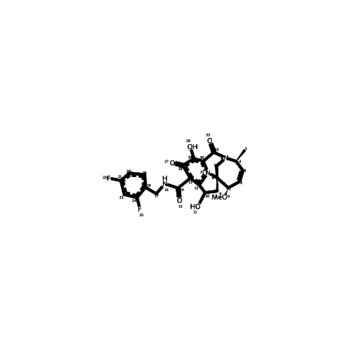 CO[C@H]1C=C[C@H](C)N2C[C@]13CC(O)c1c(C(=O)NCc4ccc(F)cc4F)c(=O)c(O)c(n13)C2=O